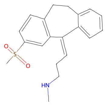 CNCC/C=C1/c2ccccc2CCc2ccc(S(C)(=O)=O)cc21